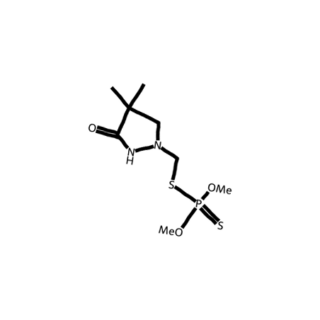 COP(=S)(OC)SCN1CC(C)(C)C(=O)N1